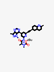 Cc1ccc2cc(C#Cc3cc(-c4ncnc5c(C)nn(C)c45)cc(NC(=O)C(C)N(C)C(=O)OC(C)(C)C)n3)ccc2n1